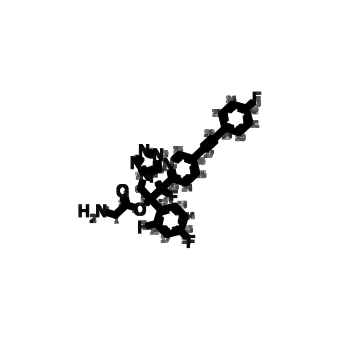 NCC(=O)OC(Cn1cnnn1)(c1ccc(F)cc1F)C(F)(F)c1ccc(C#Cc2ccc(F)cc2)cn1